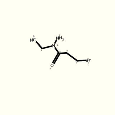 CC(C)CCC(=O)N(N)CC#N